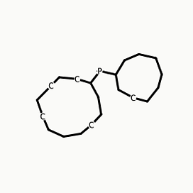 C1CCCCCC([P]C2CCCCCCCC2)CCCCC1